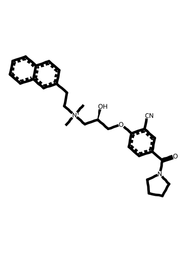 C[N+](C)(CCc1ccc2ccccc2c1)C[C@@H](O)COc1ccc(C(=O)N2CCCC2)cc1C#N